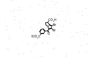 CCOC(=O)c1cccc(C(=O)c2c(Br)c(Br)c3n2CCC3C(=O)O)c1